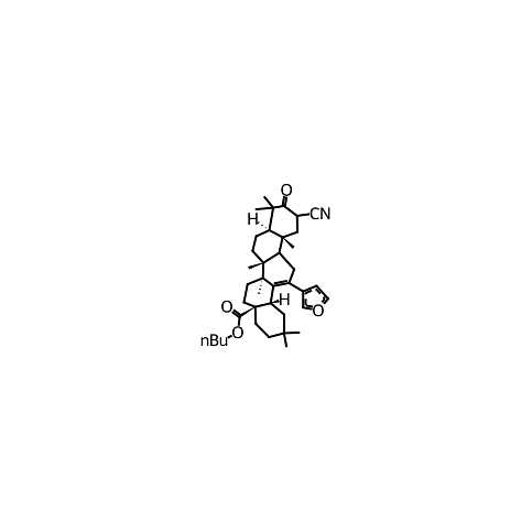 CCCCOC(=O)[C@]12CCC(C)(C)C[C@H]1C1=C(c3ccoc3)CC3[C@@]4(C)CC(C#N)C(=O)C(C)(C)[C@@H]4CC[C@@]3(C)[C@]1(C)CC2